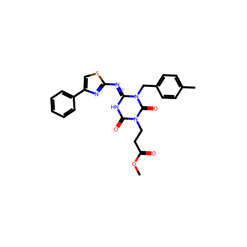 COC(=O)CCn1c(=O)[nH]/c(=N\c2nc(-c3ccccc3)cs2)n(Cc2ccc(C)cc2)c1=O